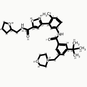 Cc1ccc(NC(=O)c2cc(CN3CCOCC3)cc(C(C)(C)C)c2)cc1-c1cc(C(=O)NCC2CCCO2)on1